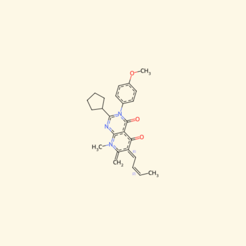 C=c1/c(=C\C=C/C)c(=O)c2c(=O)n(-c3ccc(OC)cc3)c(C3CCCC3)nc2n1C